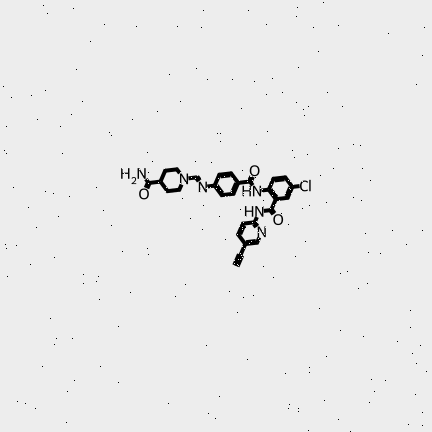 C#Cc1ccc(NC(=O)c2cc(Cl)ccc2NC(=O)c2ccc(N=CN3CCC(C(N)=O)CC3)cc2)nc1